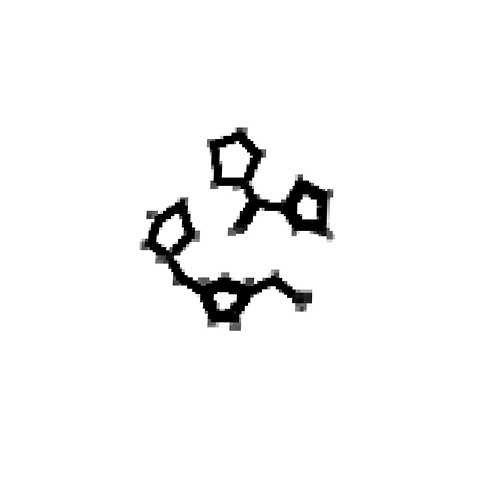 O=C(c1ccsc1)N1CCCC1.OCc1cc(CN2CCCC2)cs1